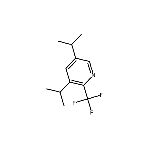 CC(C)c1cnc(C(F)(F)F)c(C(C)C)c1